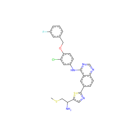 CSCC(N)c1cnc(-c2ccc3ncnc(Nc4ccc(OCc5cccc(F)c5)c(Cl)c4)c3c2)s1